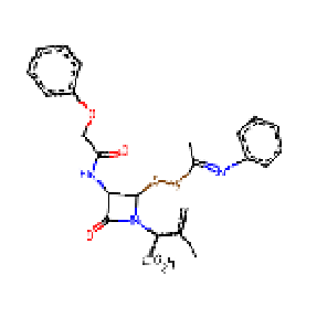 C=C(C)C(C(=O)O)N1C(=O)C(NC(=O)COc2ccccc2)C1SS/C(C)=N/c1ccccc1